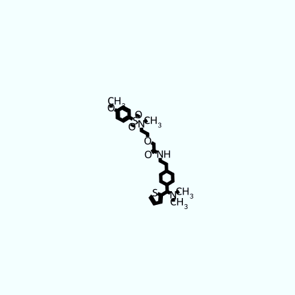 COc1ccc(S(=O)(=O)N(C)CCOCC(=O)NCCC2CCC(C(c3cccs3)N(C)C)CC2)cc1